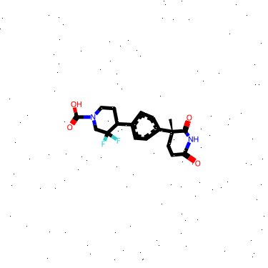 C[C@]1(c2ccc(C3CCN(C(=O)O)CC3(F)F)cc2)CCC(=O)NC1=O